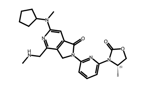 CNCc1nc(N(C)C2CCCC2)cc2c1CN(c1cccc(N3C(=O)OC[C@@H]3C)n1)C2=O